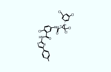 Cc1ccc(-c2csc(NC(=O)c3cc(NC(=O)[C@H]4[C@H](c5cc(Cl)cc(Cl)c5)C4(Cl)Cl)ccc3Cl)n2)cc1